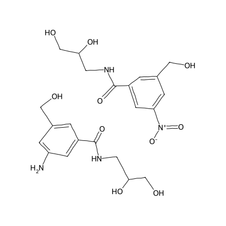 Nc1cc(CO)cc(C(=O)NCC(O)CO)c1.O=C(NCC(O)CO)c1cc(CO)cc([N+](=O)[O-])c1